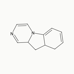 C1=CCC2CC3C=NC=CN3C2=C1